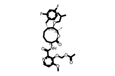 COc1ccnc(C(=O)N[C@H]2CCC[C@H](Cc3ccc(F)cc3F)[C@@H](OCC(C)C)[C@H](C)OC2=O)c1OCOC(C)=O